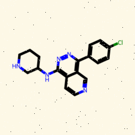 Clc1ccc(-c2nnc(NC3CCCNC3)c3ccncc23)cc1